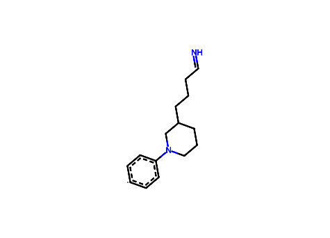 N=CCCCC1CCCN(c2cc[c]cc2)C1